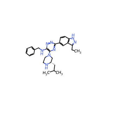 CCc1n[nH]c2ccc(-c3nnc(NCc4ccccc4)c(N4CCN[C@@H](CC(C)C)C4)n3)cc12